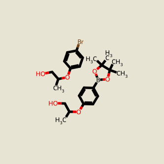 CC(CO)Oc1ccc(B2OC(C)(C)C(C)(C)O2)cc1.CC(CO)Oc1ccc(Br)cc1